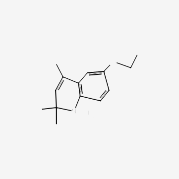 CCOc1ccc2c(c1)C(C)=CC(C)(C)N2.O